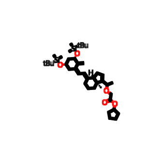 C=C1/C(=C\C=C2/CCC[C@]3(C)C(C(C)OCC(=O)OC4CCCC4)=CC[C@@H]23)C[C@@H](O[Si](C)(C)C(C)(C)C)C[C@@H]1O[Si](C)(C)C(C)(C)C